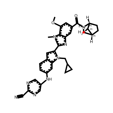 COc1cc(C(=O)N2C[C@H]3CC[C@@H]2[C@@H]3N)cc2nc(-c3cc4ccc(Nc5cnc(C#N)nc5)cc4n3CC3CC3)n(C)c12